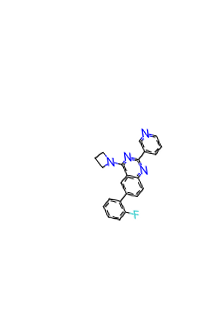 Fc1ccccc1-c1ccc2nc(-c3cccnc3)nc(N3CCC3)c2c1